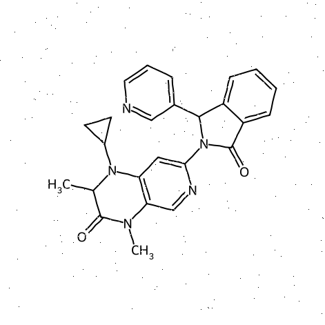 CC1C(=O)N(C)c2cnc(N3C(=O)c4ccccc4C3c3cccnc3)cc2N1C1CC1